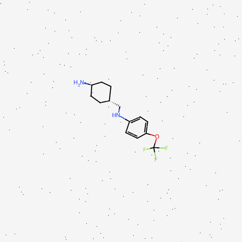 N[C@H]1CC[C@H](CNc2ccc(OC(F)(F)F)cc2)CC1